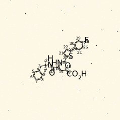 CC(C)(Cc1ccccc1)NC(=O)[C@H](CCC(=O)O)NC(=O)c1ccc(-c2ccc(F)cc2)s1